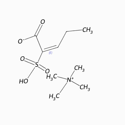 CC/C=C(\C(=O)[O-])S(=O)(=O)O.C[N+](C)(C)C